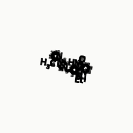 CCOc1cc(CN2CCN(c3ncccc3C)CC2)cc2[nH]c(=O)c3c(c12)NCCC3